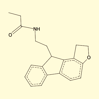 CCC(=O)NCCC1c2ccccc2-c2ccc3c(c21)CCO3